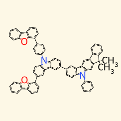 CC1(C)c2ccccc2-c2cc3c4cc(-c5ccc6c(c5)c5cc(-c7cccc8c7oc7ccccc78)ccc5n6-c5ccc(-c6cccc7c6oc6ccccc67)cc5)ccc4n(-c4ccccc4)c3cc21